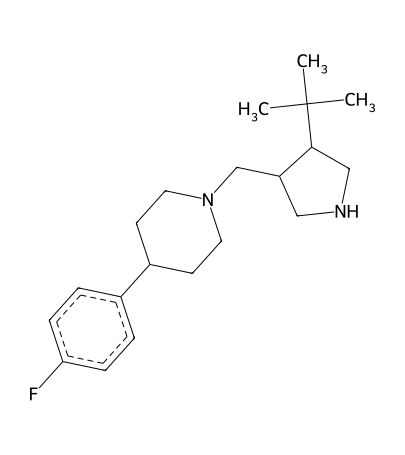 CC(C)(C)C1CNCC1CN1CCC(c2ccc(F)cc2)CC1